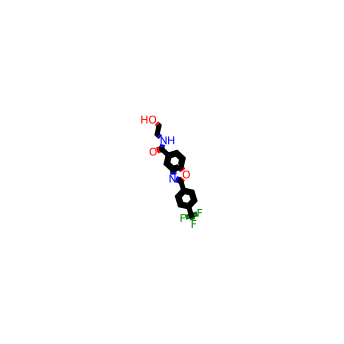 O=C(NCCO)c1ccc2oc(-c3ccc(C(F)(F)F)cc3)nc2c1